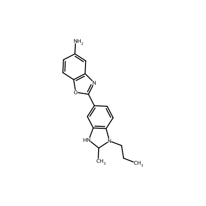 CCCN1c2ccc(-c3nc4cc(N)ccc4o3)cc2NC1C